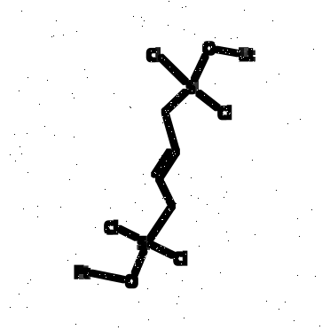 CCO[Si](Cl)(Cl)C/C=C/C[Si](Cl)(Cl)OCC